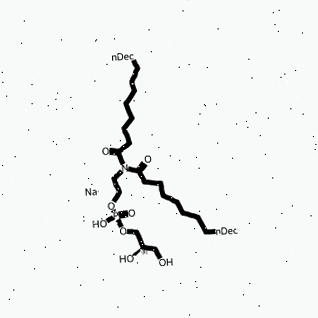 CCCCCCCCCCCCCCCCCC(=O)N(CCOP(=O)(O)OC[C@H](O)CO)C(=O)CCCCCCCCCCCCCCCCC.[Na]